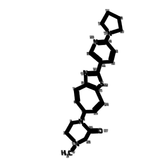 CN1CCN(C2C=Cc3nc(-c4ccc(N5CCCC5)nc4)sc3C=C2)C(=O)C1